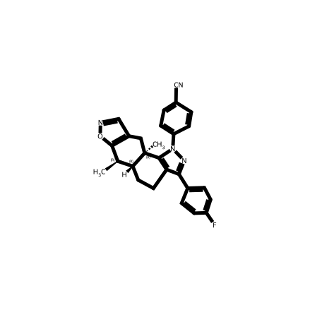 C[C@H]1c2oncc2C[C@@]2(C)c3c(c(-c4ccc(F)cc4)nn3-c3ccc(C#N)cc3)CC[C@H]12